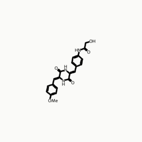 COc1ccc(C=c2[nH]c(=O)c(=Cc3ccc(NC(=O)CO)cc3)[nH]c2=O)cc1